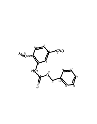 COc1ccc(C=O)cc1NC(=O)OCc1ccccc1